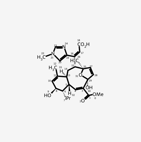 COC(=O)/C1=C/[C@@H]2[C@H](C(C)C)[C@@H](O)C=C(C)[C@H]2C[C@H](/C(=C/C(=O)O)c2cn(C)cn2)[C@@]2(C)C=C[C@]1(O)O2